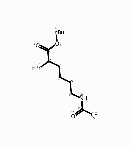 CCCCOC(=O)C(CCC)CCCCNC(=O)C(F)(F)F